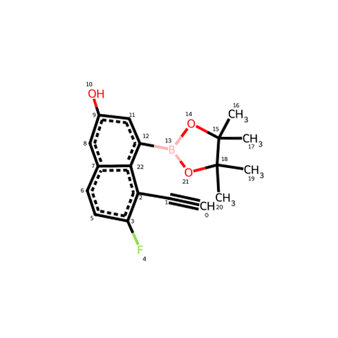 C#Cc1c(F)ccc2cc(O)cc(B3OC(C)(C)C(C)(C)O3)c12